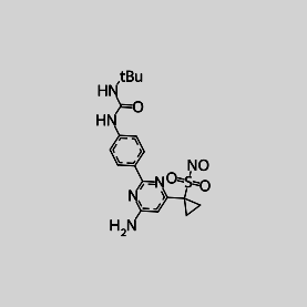 CC(C)(C)NC(=O)Nc1ccc(-c2nc(N)cc(C3(S(=O)(=O)N=O)CC3)n2)cc1